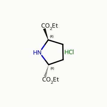 CCOC(=O)[C@H]1CC[C@H](C(=O)OCC)N1.Cl